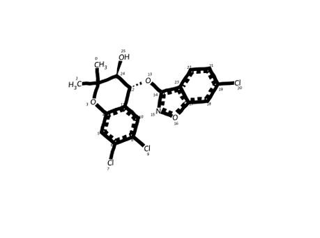 CC1(C)Oc2cc(Cl)c(Cl)cc2[C@@H](Oc2noc3cc(Cl)ccc23)[C@@H]1O